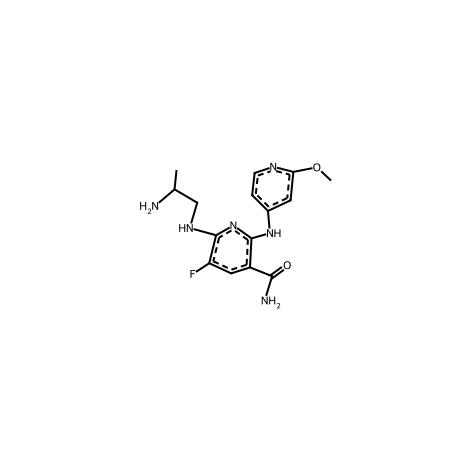 COc1cc(Nc2nc(NCC(C)N)c(F)cc2C(N)=O)ccn1